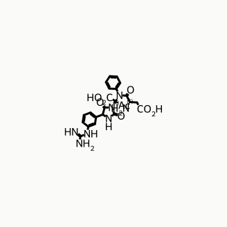 CC(=O)[C@](C(=O)O)(N1C(=O)NC(c2cccc(NC(=N)N)c2)C1=O)N(C(=O)[C@@H](N)CC(=O)O)c1ccccc1